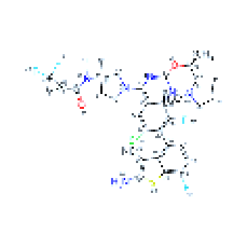 C[C@H](Oc1nc(N2CC[C@@]3(CCN3C(=O)[C@@H]3CC3(F)F)C2)c2cc(Cl)c(-c3ccc(F)c4sc(N)c(C#N)c34)c(F)c2n1)[C@@H]1CCCN1C